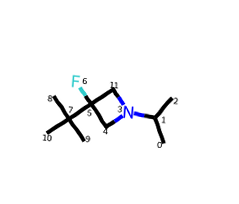 CC(C)N1CC(F)(C(C)(C)C)C1